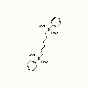 CO[Si](CCCCCC[Si](OC)(OC)c1ccccc1)(OC)c1ccccc1